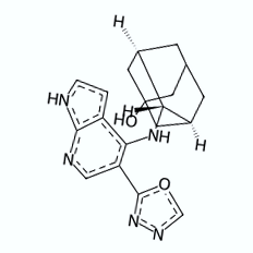 OC12CC3C[C@H](C1)[C@@H](Nc1c(-c4nnco4)cnc4[nH]ccc14)[C@@H](C3)C2